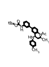 CC(=O)N1c2ccc(-c3cccc(NC(=O)OC(C)(C)C)c3)cc2[C@H](Nc2ccc(C)cc2)C[C@@H]1C